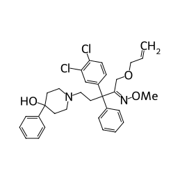 C=CCOCC(=NOC)C(CCN1CCC(O)(c2ccccc2)CC1)(c1ccccc1)c1ccc(Cl)c(Cl)c1